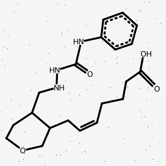 O=C(O)CCC/C=C\CC1COCCC1CNNC(=O)Nc1ccccc1